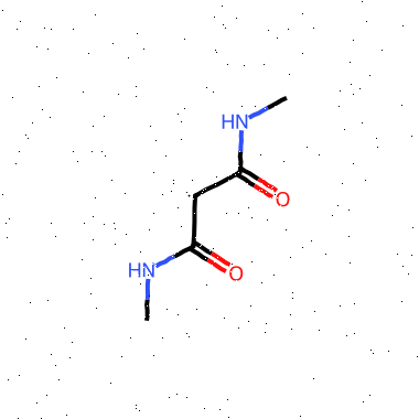 CNC(=O)[CH]C(=O)NC